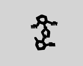 CCCc1cccc(CCC)c1N1C=CN(c2c(C)cccc2C(C)CC)C1